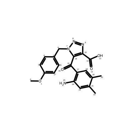 COc1ccc(Cn2nnc(C(=O)O)c2C(=O)c2cc(C)c(C)cc2N)cc1